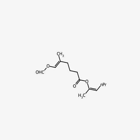 CCCC=C(C)OC(=O)CCCC(C)=COC=O